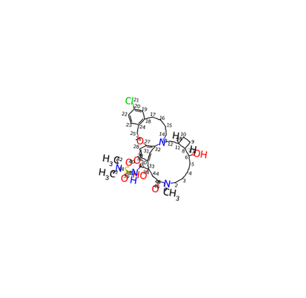 CN1CCCC[C@H](O)[C@@H]2CC[C@H]2CN2CCCCc3cc(Cl)ccc3COc3ccc(cc32)[C@@](O)(C(=O)NS(=O)(=O)N(C)C)CC1=O